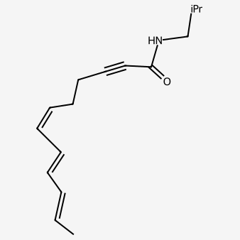 C/C=C/C=C/C=C\CCC#CC(=O)NCC(C)C